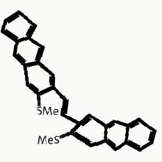 CSc1cc2cc3ccccc3cc2cc1/C=C/c1cc2cc3ccccc3cc2cc1SC